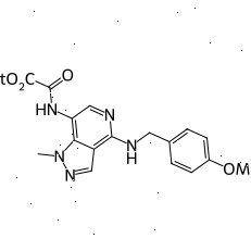 CCOC(=O)C(=O)Nc1cnc(NCc2ccc(OC)cc2)c2cnn(C)c12